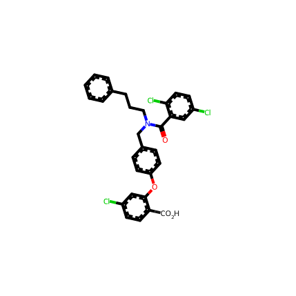 O=C(O)c1ccc(Cl)cc1Oc1ccc(CN(CCCc2ccccc2)C(=O)c2cc(Cl)ccc2Cl)cc1